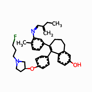 C=C(/C=N\c1cc(C2=C(c3ccc(O[C@H]4CCN(CCCF)C4)cc3)c3ccc(O)cc3CCC2)ccc1C)CC